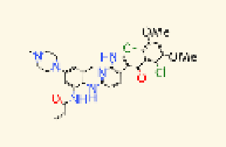 C=CC(=O)Nc1cc(N2CCN(C)CC2)cc(C)c1Nc1ccc2c(C(=O)c3c(Cl)c(OC)cc(OC)c3Cl)c[nH]c2n1